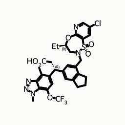 CC[C@@H]1CN(Cc2cc([C@@H](CC(=O)O)c3cc(OC(F)(F)F)c4c(nnn4C)c3C)cc3c2CCC3)S(=O)(=O)c2cc(Cl)cnc2O1